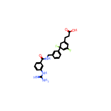 N=C(N)Nc1cccc(C(=O)NCc2cccc(C3(F)C=C(F)C=C(CCC(=O)O)C3)c2)c1